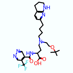 CC(C)(C)OCCN(CCCCc1ccc2c(n1)NCCC2)CCC(NC(=O)c1cnncc1C(F)(F)F)C(=O)O